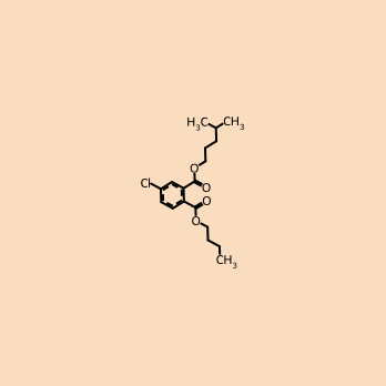 CCCCOC(=O)c1ccc(Cl)cc1C(=O)OCCCC(C)C